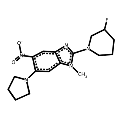 Cn1c(N2CCCC(F)C2)nc2cc([N+](=O)[O-])c(N3CCCC3)cc21